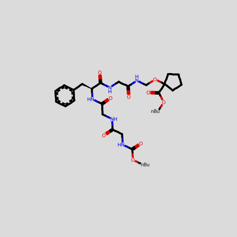 CCCCOC(=O)NCC(=O)NCC(=O)N[C@@H](Cc1ccccc1)C(=O)NCC(=O)NCOC1(C(=O)OCCCC)CCCC1